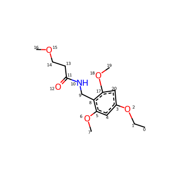 CCOc1cc(OC)c(CNC(=O)CCOC)c(OC)c1